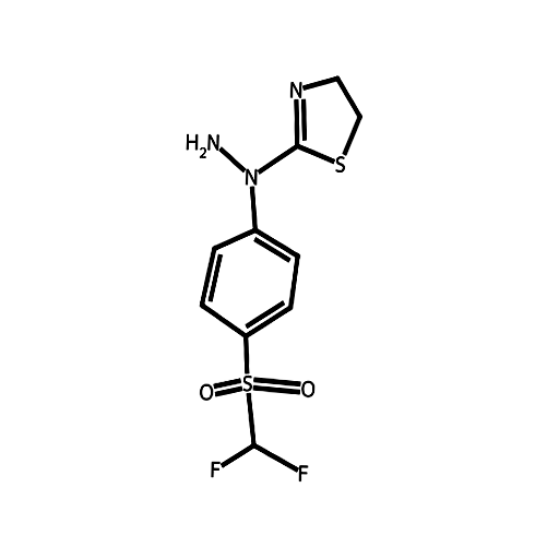 NN(C1=NCCS1)c1ccc(S(=O)(=O)C(F)F)cc1